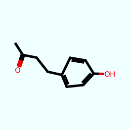 CC(=O)CCc1ccc(O)cc1